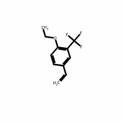 C=[C]c1ccc(OCC)c(C(F)(F)F)c1